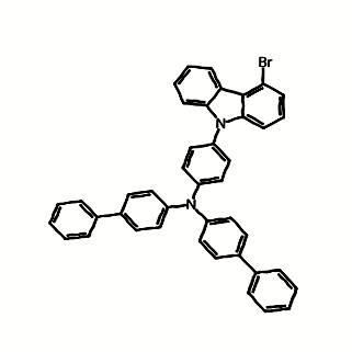 Brc1cccc2c1c1ccccc1n2-c1ccc(N(c2ccc(-c3ccccc3)cc2)c2ccc(-c3ccccc3)cc2)cc1